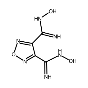 N=C(NO)c1nonc1C(=N)NO